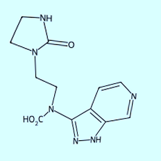 O=C1NCCN1CCN(C(=O)O)c1n[nH]c2cnccc12